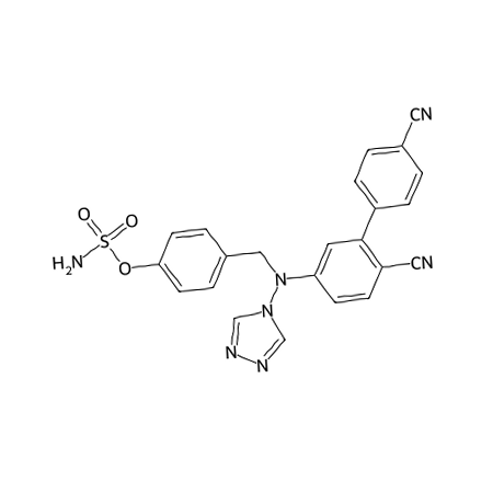 N#Cc1ccc(-c2cc(N(Cc3ccc(OS(N)(=O)=O)cc3)n3cnnc3)ccc2C#N)cc1